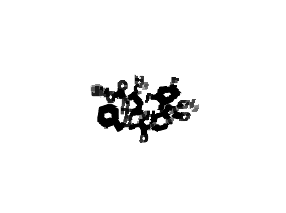 CC(CC(=O)N[C@H](COCc1ccccc1)C(=O)N1CCN2C(=O)N(C)C[C@]2(Cc2ccc(F)cc2F)C1)NC(=O)OC(C)(C)C